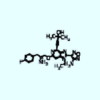 CCn1c(-c2nonc2N)nc2c(C#CC(C)(C)O)nc(OC[C@@H](N)Cc3ccc(F)cc3)cc21